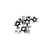 Cl.Cl.N[C@H]1CC[C@H](Nc2nc(NS(=O)(=O)c3cccc(Br)c3)c3ncn(C4CCCC4)c3n2)CC1